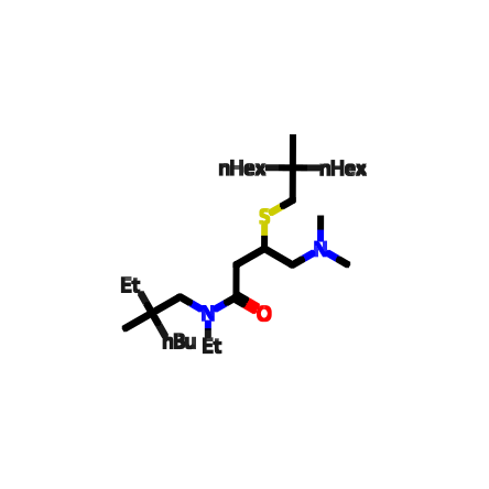 CCCCCCC(C)(CCCCCC)CSC(CC(=O)N(CC)CC(C)(CC)CCCC)CN(C)C